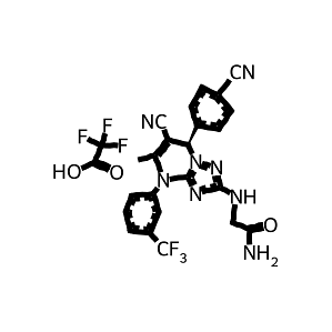 CC1=C(C#N)[C@@H](c2ccc(C#N)cc2)n2nc(NCC(N)=O)nc2N1c1cccc(C(F)(F)F)c1.O=C(O)C(F)(F)F